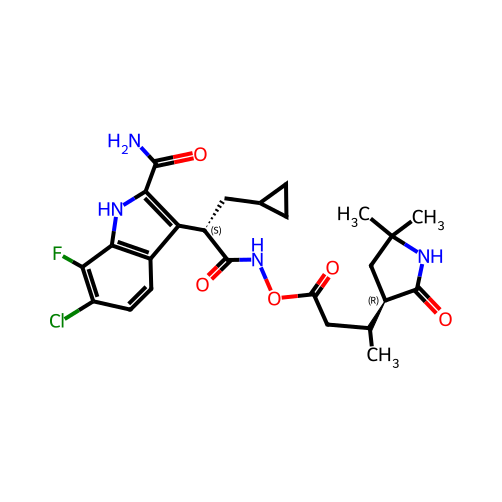 CC(CC(=O)ONC(=O)[C@@H](CC1CC1)c1c(C(N)=O)[nH]c2c(F)c(Cl)ccc12)[C@H]1CC(C)(C)NC1=O